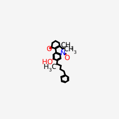 CC(CCCc1ccccc1)c1cc2c(cc1O)C1=C(CCCC1=O)C(C)(C)N2C=O